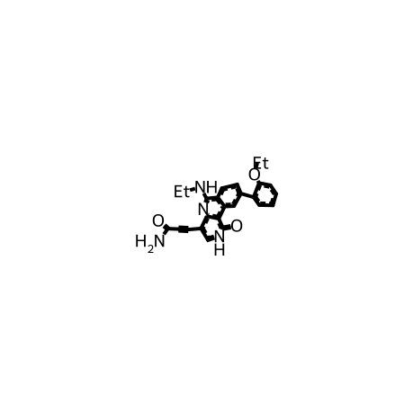 CCNc1nc2c(C#CC(N)=O)c[nH]c(=O)c2c2cc(-c3ccccc3OCC)ccc12